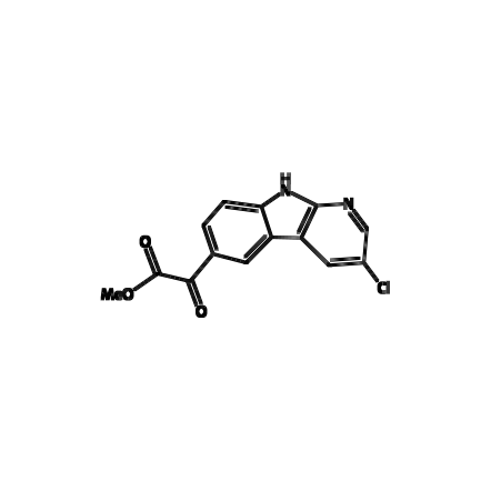 COC(=O)C(=O)c1ccc2[nH]c3ncc(Cl)cc3c2c1